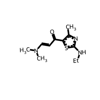 CCNc1nc(C)c(C(=O)C=CN(C)C)s1